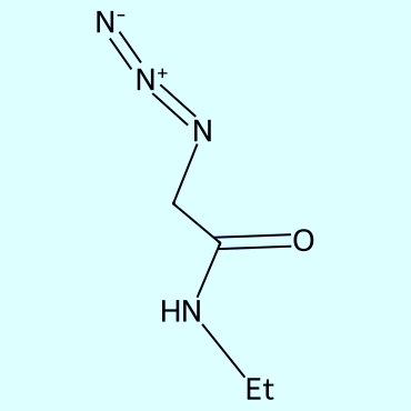 CCNC(=O)CN=[N+]=[N-]